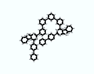 c1ccc(-c2ccc(-c3nc(-c4cccc(-c5cccc(-c6cccc(-c7cccc(-c8nc(-c9ccc(-c%10ccccc%10)cc9)c9c(n8)oc8ccccc89)c7)c6)c5)c4)c4c(n3)sc3ccccc34)cc2)cc1